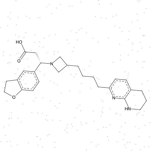 O=C(O)C[C@@H](c1ccc2c(c1)CCO2)N1CC(CCCCc2ccc3c(n2)NCCC3)C1